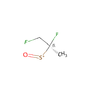 C[C@@](F)(CF)[S+]=O